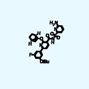 CC(C)COc1cc(F)cc(-c2ccc(C(=O)NS(=O)(=O)c3cccc(N)n3)c(O[C@@H]3C[C@H]4CC[C@@H]3C4)n2)c1